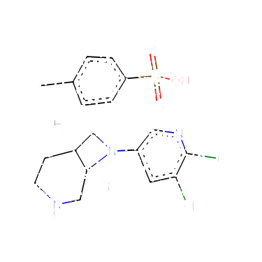 Cc1ccc(S(=O)(=O)O)cc1.Clc1cc(N2C[C@@H]3CCNC[C@@H]32)cnc1Cl